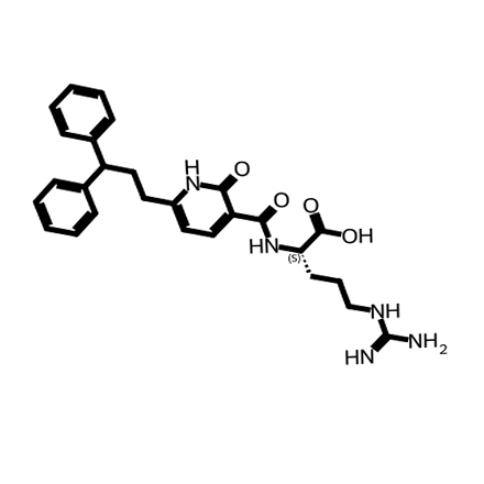 N=C(N)NCCC[C@H](NC(=O)c1ccc(CCC(c2ccccc2)c2ccccc2)[nH]c1=O)C(=O)O